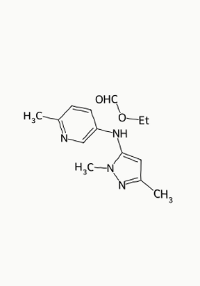 CCOC=O.Cc1ccc(Nc2cc(C)nn2C)cn1